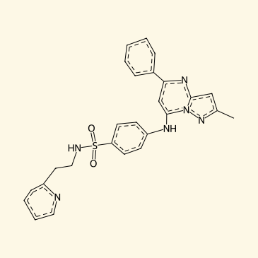 Cc1cc2nc(-c3ccccc3)cc(Nc3ccc(S(=O)(=O)NCCc4ccccn4)cc3)n2n1